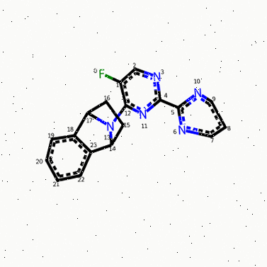 Fc1cnc(-c2ncccn2)nc1N1C2CCC1c1ccccc12